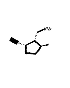 C#C[C@H]1CC[C@H](C)[C@H]1CNC